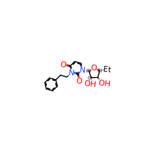 CC[C@H]1O[C@@H](n2ccc(=O)n(CCc3ccccc3)c2=O)[C@@H](O)C1O